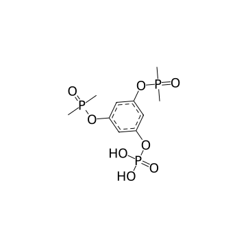 CP(C)(=O)Oc1cc(OP(C)(C)=O)cc(OP(=O)(O)O)c1